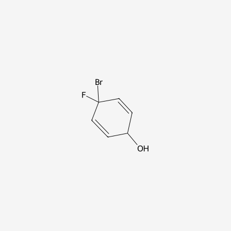 OC1C=CC(F)(Br)C=C1